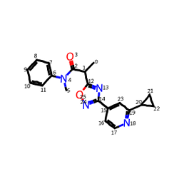 CC(C(=O)N(C)c1ccccc1)c1nc(-c2ccnc(C3CC3)c2)no1